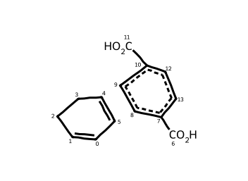 C1=CCCC=C1.O=C(O)c1ccc(C(=O)O)cc1